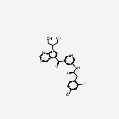 O=C(Cc1ccc(Cl)cc1Cl)Nc1cncc(C(=O)c2cn(C(CO)CO)c3ncncc23)c1